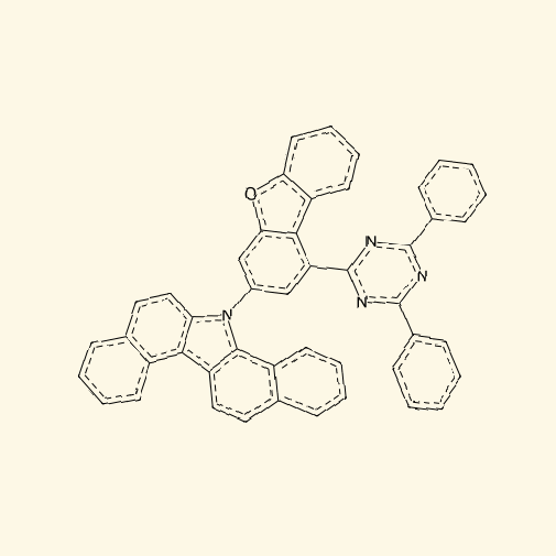 c1ccc(-c2nc(-c3ccccc3)nc(-c3cc(-n4c5ccc6ccccc6c5c5ccc6ccccc6c54)cc4oc5ccccc5c34)n2)cc1